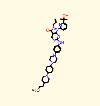 C=CCn1c(=O)c2cnc(Nc3ccc(N4CCN(C5CCC(N6CCC(CCOC(C)=O)CC6)CC5)CC4)cc3)nc2n1-c1cccc(C(C)(C)O)n1